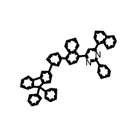 c1ccc(-c2nc(-c3cccc4ccccc34)cc(-c3ccc(-c4cccc(-c5ccc6c(c5)-c5ccccc5C6(c5ccccc5)c5ccccc5)c4)c4ccccc34)n2)cc1